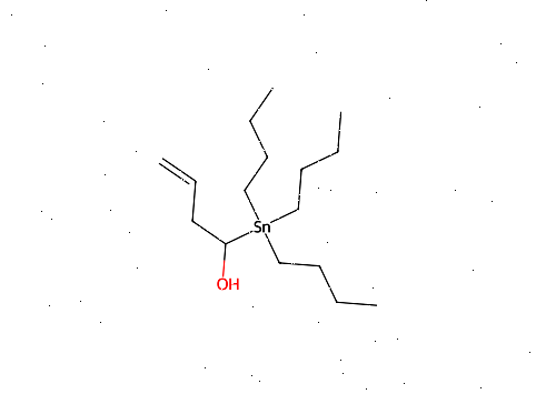 C=CC[CH](O)[Sn]([CH2]CCC)([CH2]CCC)[CH2]CCC